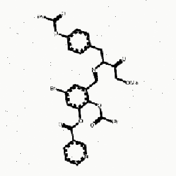 COCC(=O)C(Cc1ccc(OC(=O)C(C)C)cc1)N=Cc1cc(Br)cc(OC(=O)c2cccnc2)c1OC(=O)C(C)C